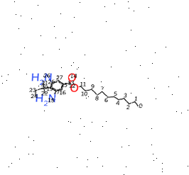 CCCCCCCCCCCCOC(=O)c1cc(N)c(C(C)(C)CC)c(N)c1